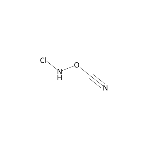 N#CONCl